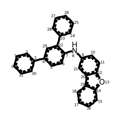 c1ccc(-c2ccc(Nc3ccc4oc5ccccc5c4c3)c(-c3ccccc3)c2)cc1